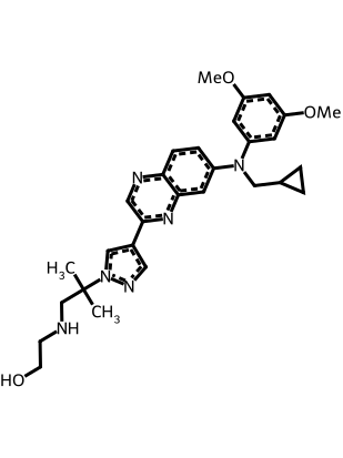 COc1cc(OC)cc(N(CC2CC2)c2ccc3ncc(-c4cnn(C(C)(C)CNCCO)c4)nc3c2)c1